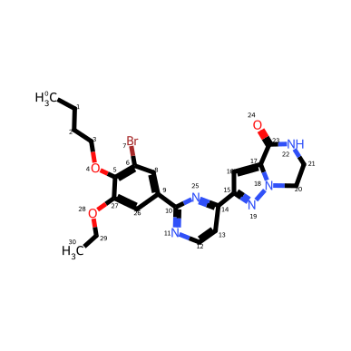 CCCCOc1c(Br)cc(-c2nccc(-c3cc4n(n3)CCNC4=O)n2)cc1OCC